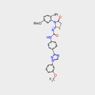 COc1ccc(C(C)C)c(N2C(=O)CS/C2=N\C(=O)Nc2ccc(-c3ncn(-c4cccc(OC(F)(F)F)c4)n3)cc2)c1